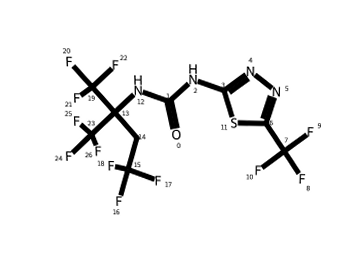 O=C(Nc1nnc(C(F)(F)F)s1)NC(CC(F)(F)F)(C(F)(F)F)C(F)(F)F